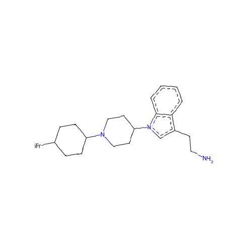 CC(C)C1CCC(N2CCC(n3cc(CCN)c4ccccc43)CC2)CC1